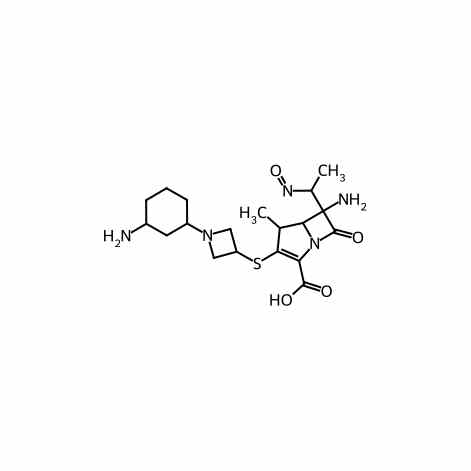 CC1C(SC2CN(C3CCCC(N)C3)C2)=C(C(=O)O)N2C(=O)C(N)(C(C)N=O)C12